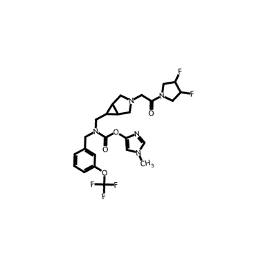 Cn1cnc(OC(=O)N(Cc2cccc(OC(F)(F)F)c2)CC2C3CN(CC(=O)N4CC(F)C(F)C4)CC32)c1